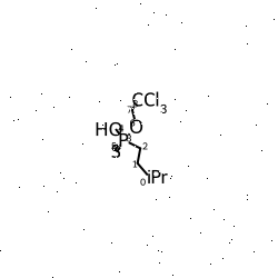 CC(C)CCP(O)(=S)OCC(Cl)(Cl)Cl